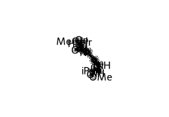 COC(=O)N[C@H](C(=O)N1CCC[C@H]1c1nc(-c2ccc(C#Cc3ccc4[nH]c([C@@H]5CC(=O)CN5C(=O)[C@@H](NC(=O)OC)C(C)C)nc4c3)cc2)c[nH]1)C(C)C